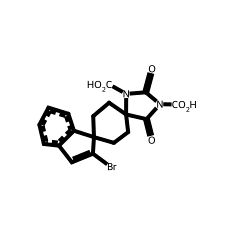 O=C(O)N1C(=O)N(C(=O)O)C2(CCC3(CC2)C(Br)=Cc2ccccc23)C1=O